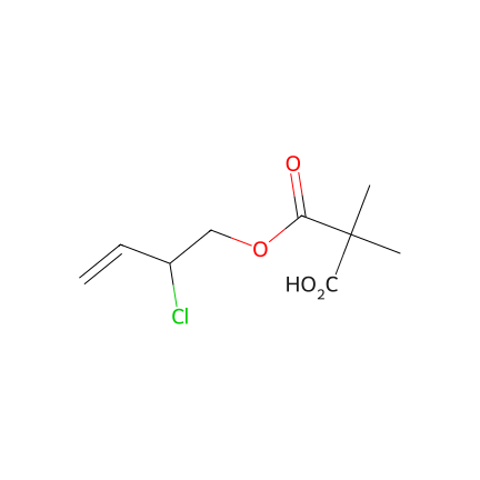 C=CC(Cl)COC(=O)C(C)(C)C(=O)O